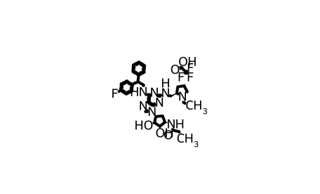 CCC(=O)N[C@H]1C[C@@H](n2cnc3c(NCC(c4ccccc4)c4ccc(F)cc4)nc(NC[C@H]4CCCN4CC)nc32)[C@H](O)[C@@H]1O.O=C(O)C(F)(F)F